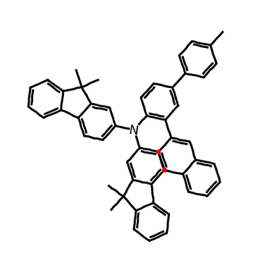 Cc1ccc(-c2ccc(N(c3ccc4c(c3)C(C)(C)c3ccccc3-4)c3ccc4c(c3)C(C)(C)c3ccccc3-4)c(-c3ccc4ccccc4c3)c2)cc1